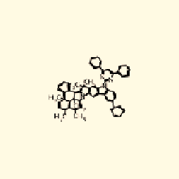 CC1C=CC2(C)C3=C1C(C)C=C1N4C(=C(c5ccccc52)C13C)C(C)(C)c1cc2c(cc14)c1cc(-c3ccccc3)ccc1n2-c1nc(-c2ccccc2)cc(-c2ccccc2)n1